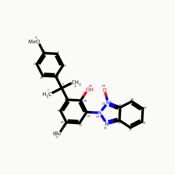 COc1ccc(C(C)(C)c2cc(C(C)(C)C)cc(-n3nc4ccccc4[n+]3[O-])c2O)cc1